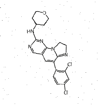 Clc1ccc(C2=Cc3cnc(NC4CCOCC4)nc3N3CCN=C23)c(Cl)c1